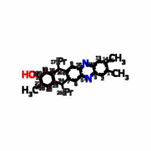 Cc1cc2nc3cc4c(cc3nc2cc1C)C1(C(C)C)c2ccccc2C4(C(C)C)c2cc(C)c(O)cc21